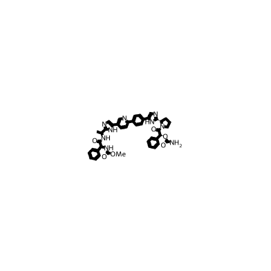 COC(=O)NC(C(=O)NC(C)c1ncc(-c2ccc(-c3ccc(-c4cnc([C@@H]5CCCN5C(=O)[C@H](OC(N)=O)c5ccccc5)[nH]4)cc3)nc2)[nH]1)c1ccccc1